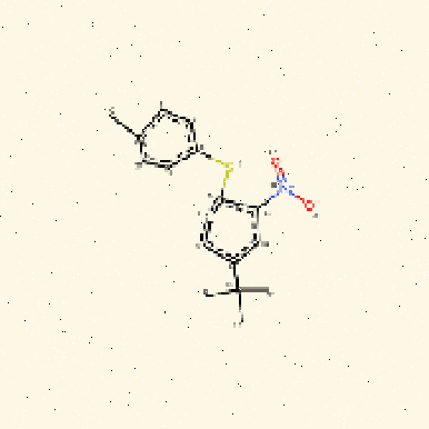 Cc1ccc(Sc2ccc(C(C)(C)C)cc2[N+](=O)[O-])cc1